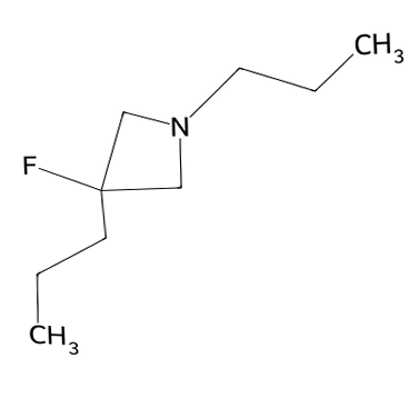 CCCN1CC(F)(CCC)C1